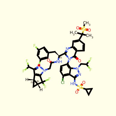 CC(C)(c1ccc2c(=O)n(-c3ccc(Cl)c4c(NS(=O)(=O)C5CC5)nn(CC(F)F)c34)c([C@H](Cc3cc(F)cc(F)c3)NC(=O)Cn3nc(C(F)F)c4c3C(F)(F)[C@@H]3C[C@H]43)nc2c1)S(C)(=O)=O